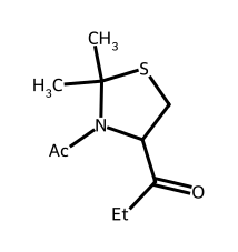 CCC(=O)C1CSC(C)(C)N1C(C)=O